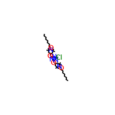 CCCCCCCCON1C(C)(C)CC(Oc2nc(Cl)nc(OC3CC(C)(C)N(OCCCCCCCC)C(C)(C)C3)n2)CC1(C)C